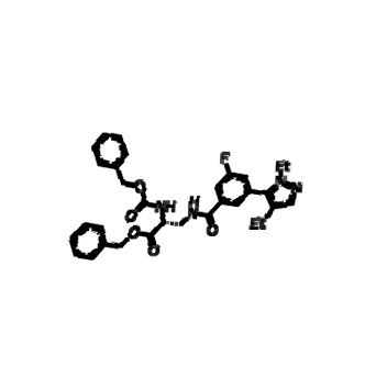 CCc1cnn(CC)c1-c1cc(F)cc(C(=O)NC[C@@H](NC(=O)OCc2ccccc2)C(=O)OCc2ccccc2)c1